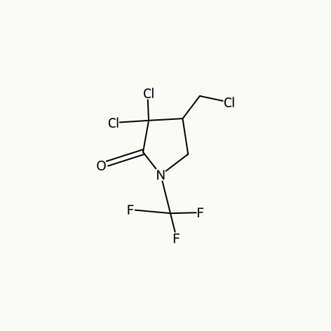 O=C1N(C(F)(F)F)CC(CCl)C1(Cl)Cl